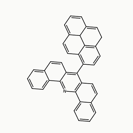 C1=CC2=CCc3ccc(-c4c5ccc6ccccc6c5nc5c4ccc4ccccc45)c4c3C2C(=C1)C=C4